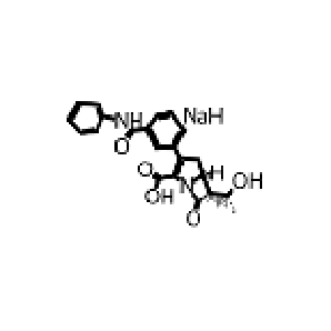 C[C@@H](O)[C@H]1C(=O)N2C(C(=O)O)=C(c3cccc(C(=O)Nc4ccccc4)c3)C[C@H]12.[NaH]